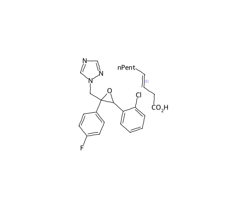 CCCCC/C=C/CC(=O)O.Fc1ccc(C2(Cn3cncn3)OC2c2ccccc2Cl)cc1